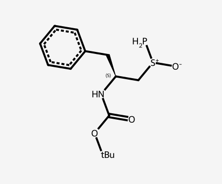 CC(C)(C)OC(=O)N[C@@H](Cc1ccccc1)C[S+]([O-])P